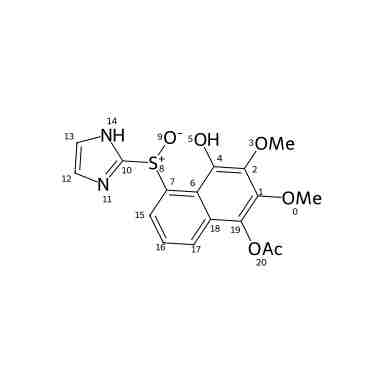 COc1c(OC)c(O)c2c([S+]([O-])c3ncc[nH]3)cccc2c1OC(C)=O